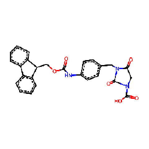 O=C(Nc1ccc(CN2C(=O)CN(C(=O)O)C2=O)cc1)OCC1c2ccccc2-c2ccccc21